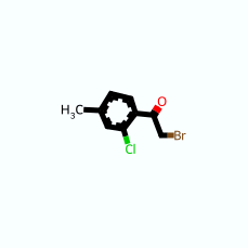 Cc1ccc(C(=O)CBr)c(Cl)c1